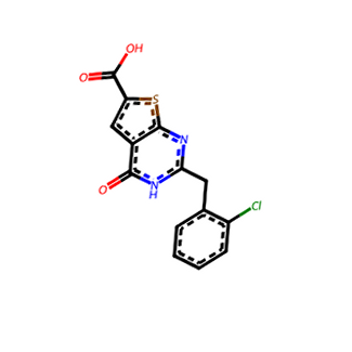 O=C(O)c1cc2c(=O)[nH]c(Cc3ccccc3Cl)nc2s1